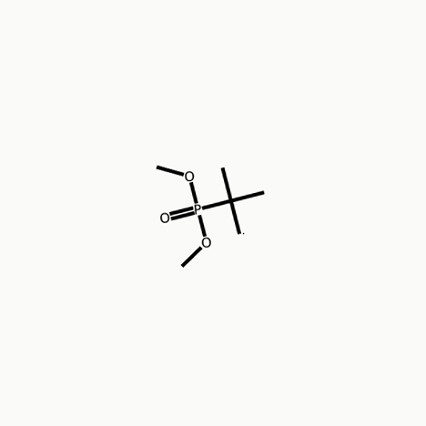 [CH2]C(C)(C)P(=O)(OC)OC